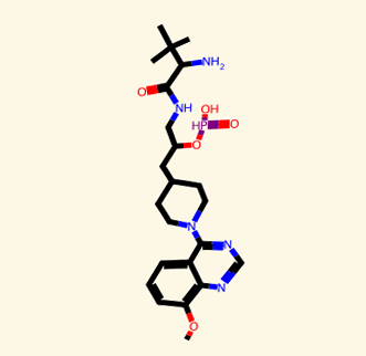 COc1cccc2c(N3CCC(CC(CNC(=O)C(N)C(C)(C)C)O[PH](=O)O)CC3)ncnc12